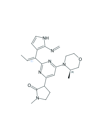 C=Nc1[nH]ccc1/C(=C\C)c1nc(C2CCN(C)C2=O)cc(N2CCOC[C@H]2C)n1